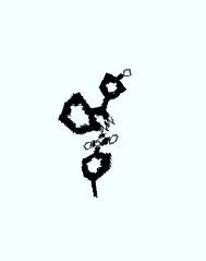 Cc1ccc(S(=O)(=O)n2nc(-c3ccc(Cl)cc3)c3ccccc32)cc1